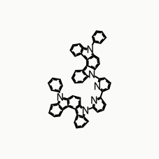 c1ccc(-n2c3ccccc3c3c4c5ccccc5n(-c5cccc(-c6cccc(-n7c8ccccc8c8c9c%10ccccc%10n(-c%10ccccc%10)c9ccc87)n6)n5)c4ccc32)cc1